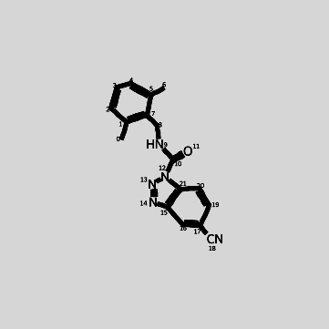 Cc1cccc(C)c1CNC(=O)n1nnc2cc(C#N)ccc21